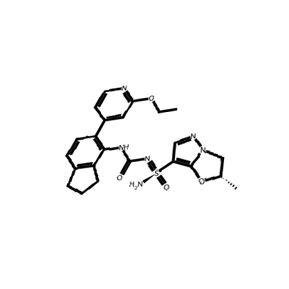 CCOc1cc(-c2ccc3c(c2NC(=O)N=[S@@](N)(=O)c2cnn4c2O[C@@H](C)C4)CCC3)ccn1